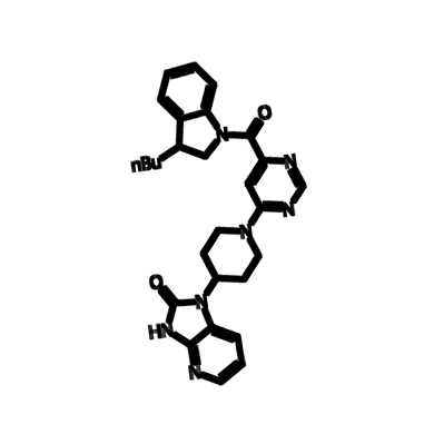 CCCCC1CN(C(=O)c2cc(N3CCC(n4c(=O)[nH]c5ncccc54)CC3)ncn2)c2ccccc21